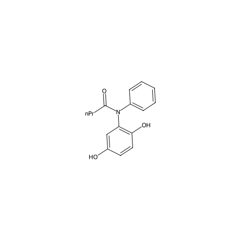 CCCC(=O)N(c1ccccc1)c1cc(O)ccc1O